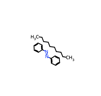 CCCCCCCCCC.c1ccc(/N=N/c2ccccc2)cc1